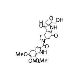 COc1cc2cc(C(=O)N3CCC4C3=CC(=O)C3=C4C(=O)C(C)(C(=O)CO)N3)[nH]c2c(OC)c1OC